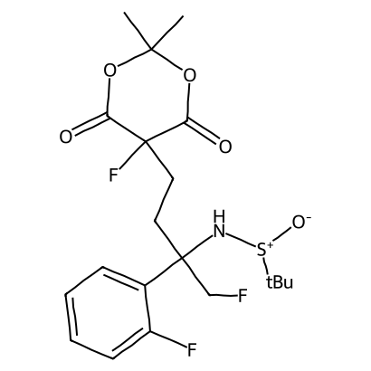 CC1(C)OC(=O)C(F)(CCC(CF)(N[S+]([O-])C(C)(C)C)c2ccccc2F)C(=O)O1